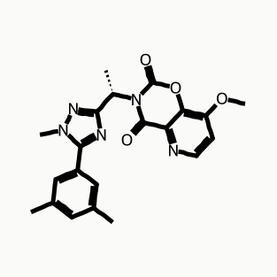 COc1ccnc2c(=O)n([C@@H](C)c3nc(-c4cc(C)cc(C)c4)n(C)n3)c(=O)oc12